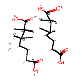 CC(C)(CCCC(=O)O)C(C)(C)C(=O)O.CC(C)(CCCC(=O)O)C(C)(C)C(=O)O.[Ti]